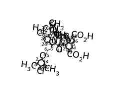 Cc1cc(OCCCc2c3n(c4c(-c5c(C)nn(C)c5C)c(Cl)ccc24)C(C)CN(c2cc(C(=O)O)cc4cc(C(=O)O)n(C)c24)C3=O)cc(C)c1Cl